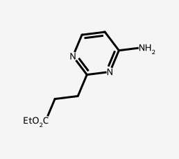 CCOC(=O)CCc1nccc(N)n1